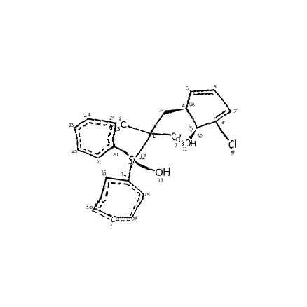 CC(C)(C[C@H]1C=CC=C(Cl)[C@H]1O)[Si](O)(c1ccccc1)c1ccccc1